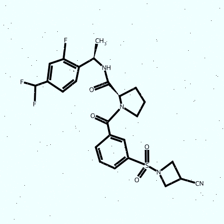 C[C@@H](NC(=O)[C@H]1CCCN1C(=O)c1cccc(S(=O)(=O)N2CC(C#N)C2)c1)c1ccc(C(F)F)cc1F